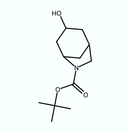 CC(C)(C)OC(=O)N1CC2CC(O)CC1C2